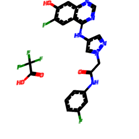 O=C(Cn1cc(Nc2ncnc3cc(O)c(F)cc23)cn1)Nc1cccc(F)c1.O=C(O)C(F)(F)F